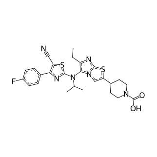 CCc1nc2sc(C3CCN(C(=O)O)CC3)cn2c1N(c1nc(-c2ccc(F)cc2)c(C#N)s1)C(C)C